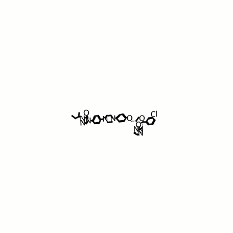 CCC(C)n1ncn(-c2ccc(N3CCN(c4ccc(OC[C@@H]5CO[C@@](Cn6nccn6)(c6cccc(Cl)c6)O5)cc4)CC3)cc2)c1=O